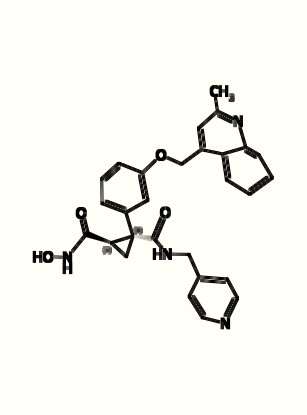 Cc1cc(COc2cccc([C@@]3(C(=O)NCc4ccncc4)C[C@H]3C(=O)NO)c2)c2ccccc2n1